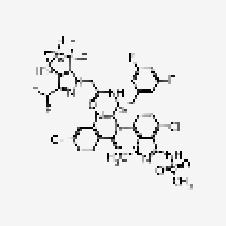 Cn1nc(NS(C)(=O)=O)c2c(Cl)ccc(-n3c([C@H](Cc4cc(F)cc(F)c4)NC(=O)Cn4nc(C(F)F)c5c4C(F)(F)[C@@H]4C[C@H]54)nc4cc(Cl)ccc4c3=O)c21